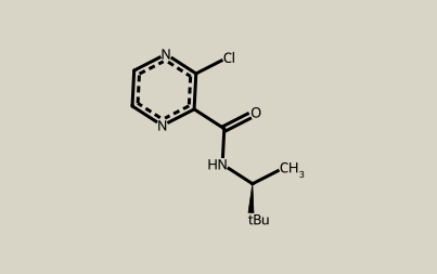 C[C@H](NC(=O)c1nccnc1Cl)C(C)(C)C